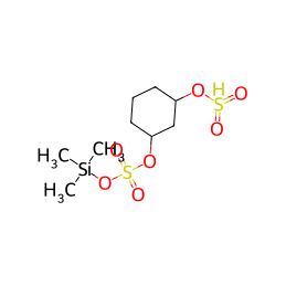 C[Si](C)(C)OS(=O)(=O)OC1CCCC(O[SH](=O)=O)C1